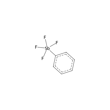 [F][Sb]([F])([F])([F])[c]1ccccc1